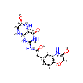 O=C(Cc1ccc2c(c1)NC(=O)CO2)Nc1nc2ncc(=O)[nH]c2c(=O)[nH]1